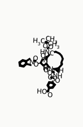 CC(C)(C)OC(=O)N[C@H]1CCCCC/C=C/[C@@H]2C[C@@]2(C(=O)NS(=O)(=O)c2ccc(C(=O)O)cc2)NC(=O)[C@@H]2C[C@@H](OC(=O)N3Cc4ccccc4C3)CN2C1=O